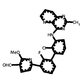 COc1nc(-c2cccc(-c3cccc(Nc4nc(C)nc5cccnc45)c3Cl)c2F)ccc1C=O